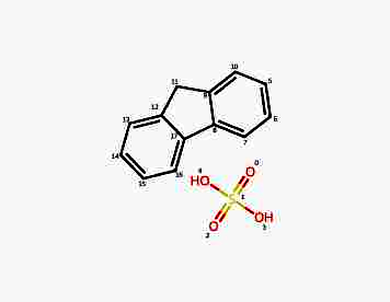 O=S(=O)(O)O.c1ccc2c(c1)Cc1ccccc1-2